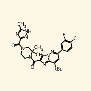 Cc1nc(C(=O)N2CCN(C(=O)c3cn4nc(-c5ccc(Cl)c(F)c5)cc(C(C)(C)C)c4n3)C(C)(C)C2)n[nH]1